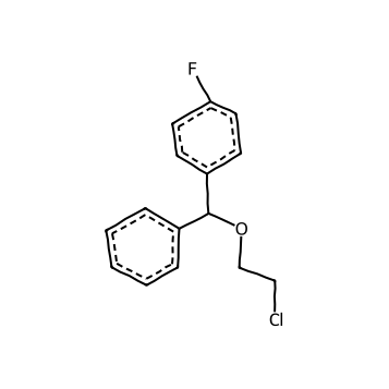 Fc1ccc(C(OCCCl)c2ccccc2)cc1